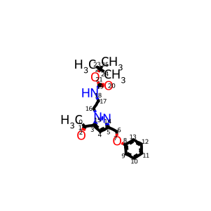 CC(=O)c1cc(COc2ccccc2)nn1CCNC(=O)OC(C)(C)C